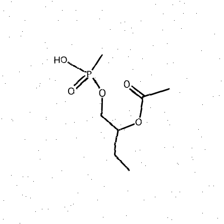 CCC(COP(C)(=O)O)OC(C)=O